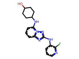 OC1CCC(Nc2cccc3nc(Nc4cccnc4F)nn23)CC1